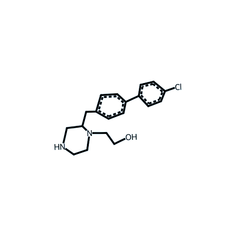 OCCN1CCNCC1Cc1ccc(-c2ccc(Cl)cc2)cc1